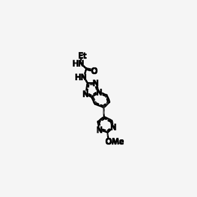 CCNC(=O)Nc1nc2cc(-c3cnc(OC)nc3)ccn2n1